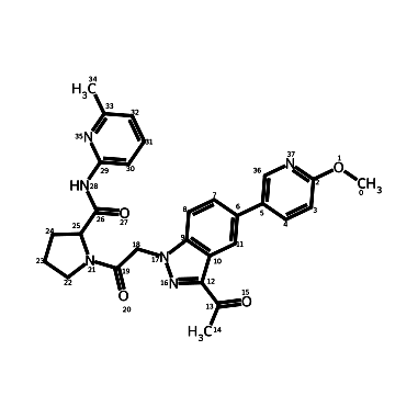 COc1ccc(-c2ccc3c(c2)c(C(C)=O)nn3CC(=O)N2CCCC2C(=O)Nc2cccc(C)n2)cn1